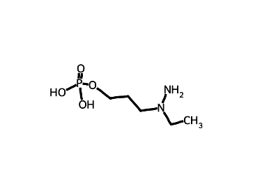 CCN(N)CCCOP(=O)(O)O